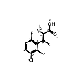 Cc1c(Cl)ccc(F)c1C(C)C(N)C(=O)O